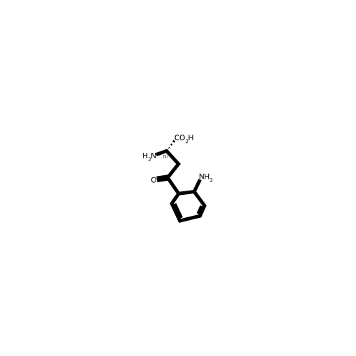 NC1C=CC=CC1C(=O)C[C@H](N)C(=O)O